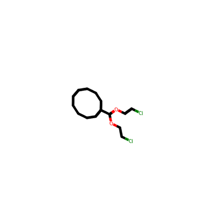 ClCCOC(OCCCl)[C]1CCCCCCCCC1